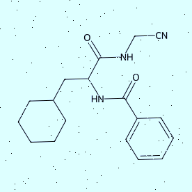 N#CCNC(=O)C(CC1CCCCC1)NC(=O)c1ccccc1